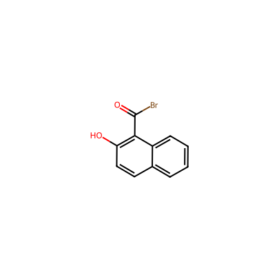 O=C(Br)c1c(O)ccc2ccccc12